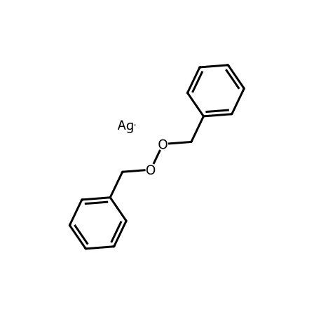 [Ag].c1ccc(COOCc2ccccc2)cc1